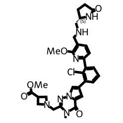 COC(=O)C1CN(Cc2nn3cc(-c4cccc(-c5ccc(CNC[C@@H]6CCC(=O)N6)c(OC)n5)c4Cl)cc3c(=O)n2C)C1